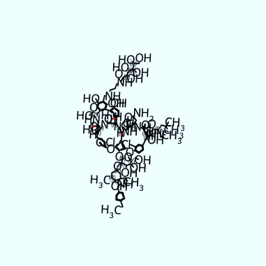 CCc1ccc(CNC2(CC)C[C@H](O[C@@H]3C(O)C(O)[C@@H](CO)O[C@H]3Oc3c4cc5cc3Oc3ccc(cc3Cl)[C@@H](O)[C@@H](NC(=O)[C@@H](CC(C)C)NC)C(=O)N[C@@H](CC(N)=O)C(=O)N[C@H]5C(=O)N[C@H]3C(=O)N[C@H](C(=O)N[C@H](C(=O)O)c5cc(O)c(CNCCCNC(=O)[C@H](O)[C@@H](O)[C@H](O)[C@H](O)CO)c(O)c5-c5cc3ccc5O)[C@H](O)c3ccc(c(Cl)c3)O4)C[C@@H](C)[C@H]2O)cc1